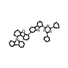 c1ccc(-c2nc(-c3ccccc3)nc(-c3cccc4c3sc3cc(-c5cccc6c5oc5cccc(-n7c8ccccc8c8ccccc87)c56)ccc34)n2)cc1